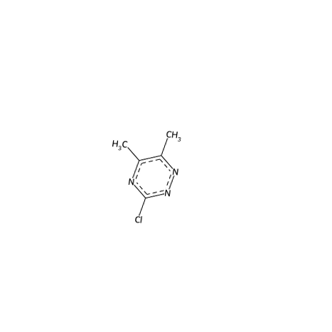 Cc1nnc(Cl)nc1C